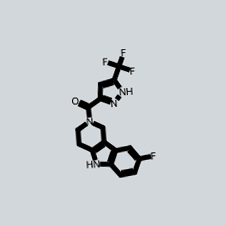 O=C(c1cc(C(F)(F)F)[nH]n1)N1CCc2[nH]c3ccc(F)cc3c2C1